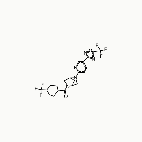 O=C(C1CCC(C(F)(F)F)CC1)N1CC2CC1CN2c1ccc(-c2noc(C(F)(F)F)n2)cn1